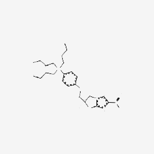 CCC[CH2][Sn]([CH2]CCC)([CH2]CCC)[c]1ccc(OC[C@@]2(C)Cn3cc([N+](=O)[O-])nc3O2)cc1